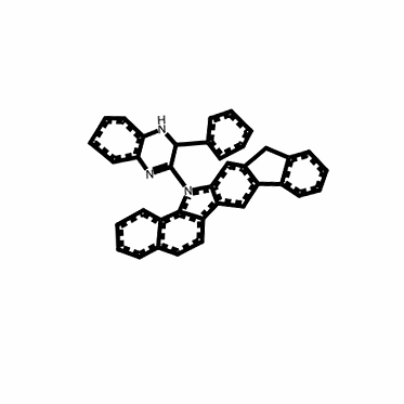 c1ccc(C2Nc3ccccc3N=C2n2c3cc4c(cc3c3ccc5ccccc5c32)-c2ccccc2C4)cc1